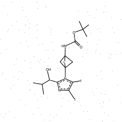 CC(C)C(O)c1nc(I)c(I)n1C12CC(NC(=O)OC(C)(C)C)(C1)C2